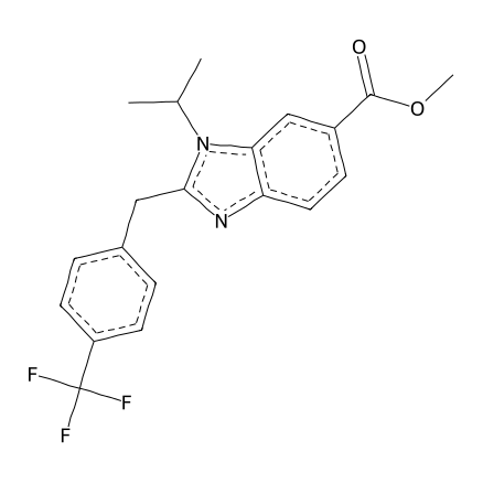 COC(=O)c1ccc2nc(Cc3ccc(C(F)(F)F)cc3)n(C(C)C)c2c1